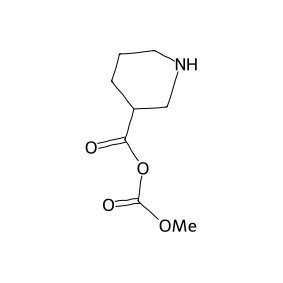 COC(=O)OC(=O)C1CCCNC1